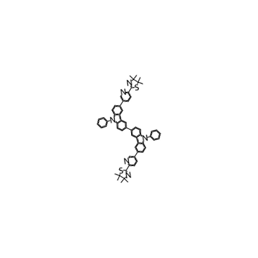 CC1(C)N=C(c2ccc(-c3ccc4c(c3)c3cc(-c5ccc6c(c5)c5cc(-c7ccc(C8=NC(C)(C)C(C)(C)S8)nc7)ccc5n6-c5ccccc5)ccc3n4-c3ccccc3)cn2)SC1(C)C